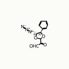 [N-]=[N+]=NC[C@H]1OC(C(=O)C=O)O[C@@H]1c1ccccc1